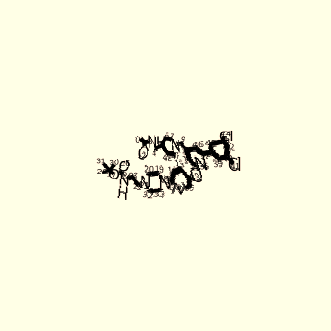 CC(=O)NCC1CCN(Cc2cc(Oc3ccc(N4CCN(CCNC(=O)OC(C)(C)C)CC4)nc3)nc(-c3cc(Cl)cc(Cl)c3)c2)CC1